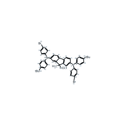 CCCCCCCCC1(C)c2cc(N(c3ccc(Br)cc3)c3ccc(C(C)(C)C)cc3)ccc2-c2ccc(N(c3ccc(Br)cc3)c3ccc(C(C)(C)C)cc3)cc21